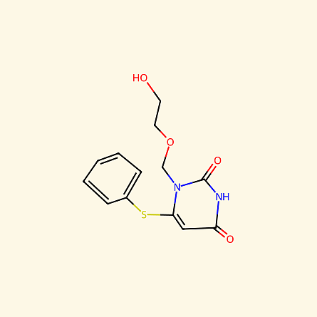 O=c1cc(Sc2ccccc2)n(COCCO)c(=O)[nH]1